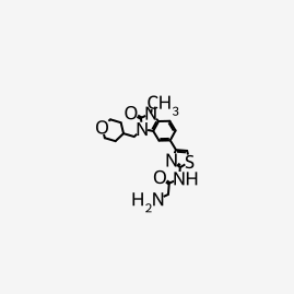 Cn1c(=O)n(CC2CCOCC2)c2cc(-c3csc(NC(=O)CN)n3)ccc21